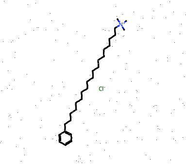 C[N+](C)(C)CCCCCCCCCCCCCCCCCCCc1ccccc1.[Cl-]